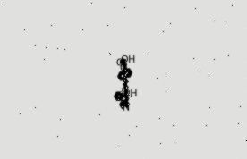 O=C(O)COc1cccc2c1CCCC2/C=C/CONC(Cc1cccnc1)c1ccccc1